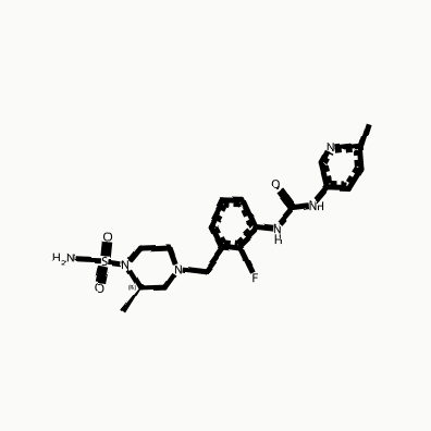 Cc1ccc(NC(=O)Nc2cccc(CN3CCN(S(N)(=O)=O)[C@H](C)C3)c2F)cn1